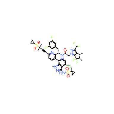 C[C@@H]1c2c(C(F)F)nn(CC(=O)N[C@@H](Cc3cc(F)cc(F)c3)c3nc(C#CC(C)(C)S(=O)(=O)C4CC4)ccc3-c3ccc(Cl)c4c(NS(=O)(=O)C5(C)CC5)nn(C)c34)c2C(F)(F)[C@@H]1C